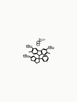 Cc1cc2c(cc1C(C)(C)C)-c1cc(C(C)(C)C)c(C)cc1C2C1(c2ccccc2)CCC2=C1C=C(C(C)(C)C)C2.[Cl-].[Cl-].[Zr+2]